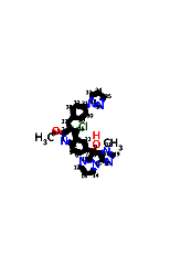 COc1nc2ccc(C(O)(c3ncccn3)c3cncn3C)cc2c(Cl)c1Cc1ccc(-n2cccn2)cc1